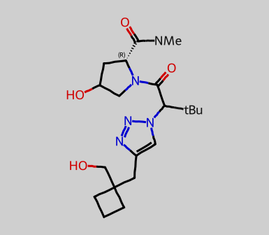 CNC(=O)[C@H]1CC(O)CN1C(=O)C(n1cc(CC2(CO)CCC2)nn1)C(C)(C)C